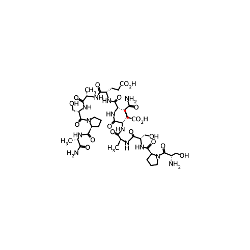 C[C@H](NC(=O)[C@@H]1CCCN1C(=O)[C@H](CO)NC(=O)[C@H](C)NC(=O)[C@H](CCC(=O)O)NC(=O)[C@H](CCC(=O)O)NC(=O)[C@H](CCC(N)=O)NC(=O)[C@H](C)NC(=O)[C@H](CO)NC(=O)[C@@H]1CCCN1C(=O)[C@@H](N)CO)C(N)=O